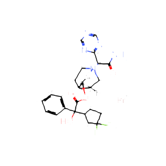 NC(=O)C(c1ncncn1)[N+]12CCC(CC1)[C@@H](OC(=O)C(O)(c1ccccc1)C1CCC(F)(F)C1)C2.[Br-]